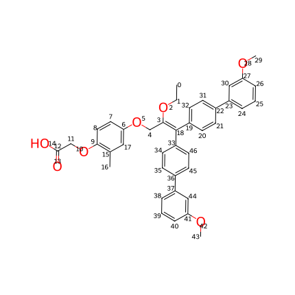 CCOC(COc1ccc(OCC(=O)O)c(C)c1)=C(c1ccc(-c2cccc(OC)c2)cc1)c1ccc(-c2cccc(OC)c2)cc1